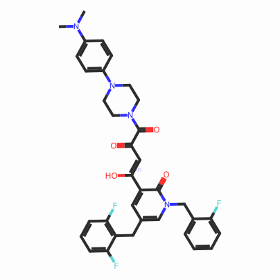 CN(C)c1ccc(N2CCN(C(=O)C(=O)/C=C(\O)c3cc(Cc4c(F)cccc4F)cn(Cc4ccccc4F)c3=O)CC2)cc1